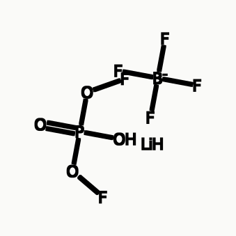 F[B-](F)(F)F.O=P(O)(OF)OF.[LiH]